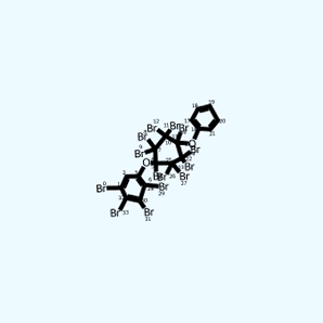 Brc1cc(OC2(Br)C(Br)(Br)C(Br)(Br)C(Br)(Oc3ccccc3)C(Br)(Br)C2(Br)Br)c(Br)c(Br)c1Br